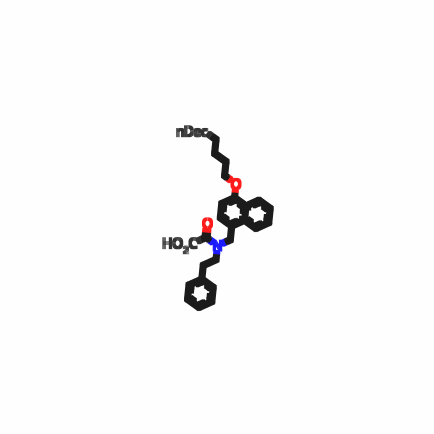 CCCCCCCCCCCCCCOc1ccc(CN(CCc2ccccc2)C(=O)C(=O)O)c2ccccc12